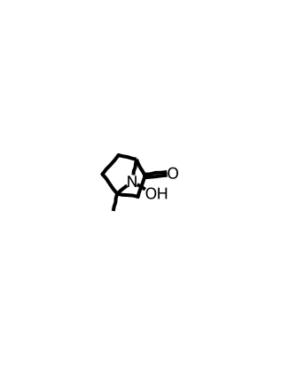 CC12CCC(C(=O)C1)N2O